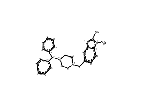 CCn1c(N)nc2cc(CN3CCN(C(c4ccccc4)c4ccccc4)CC3)ccc21